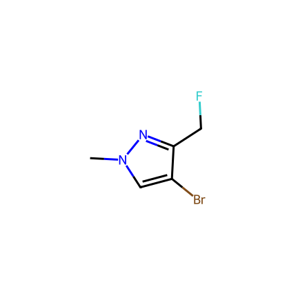 Cn1cc(Br)c(CF)n1